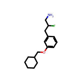 NCC(F)Cc1cccc(OCC2CCCCC2)c1